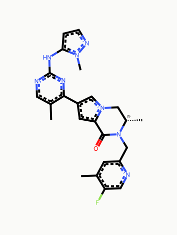 Cc1cc(CN2C(=O)c3cc(-c4nc(Nc5ccnn5C)ncc4C)cn3C[C@@H]2C)ncc1F